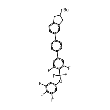 CCCCC1Cc2ccc(-c3ccc(-c4cc(F)c(C(F)(F)Oc5cc(F)c(F)c(F)c5)c(F)c4)cc3)cc2C1